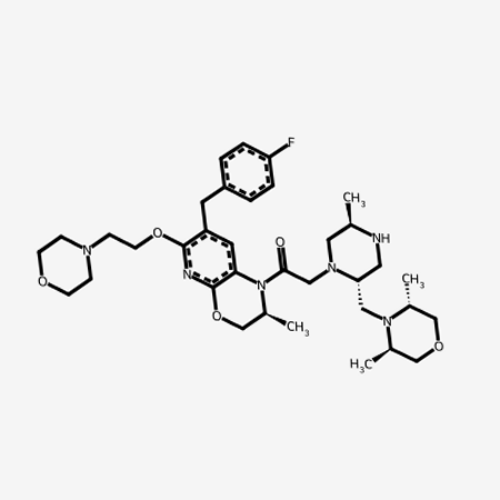 C[C@@H]1CN(CC(=O)N2c3cc(Cc4ccc(F)cc4)c(OCCN4CCOCC4)nc3OC[C@@H]2C)[C@@H](CN2[C@H](C)COC[C@H]2C)CN1